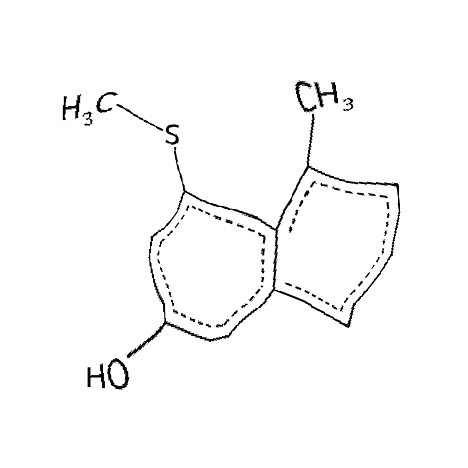 CSc1cc(O)cc2cccc(C)c12